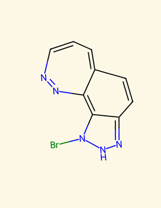 BrN1NN=c2ccc3c(c21)N=NC=CC=3